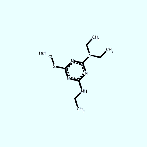 CCNc1nc(SCl)nc(N(CC)CC)n1.Cl